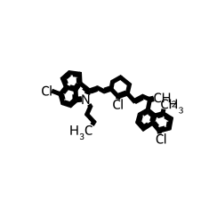 C=C(/C=C/C1=C(Cl)C(=C/C=c2/c3cccc4c(Cl)ccc(c43)n2CCCC)/CCC1)c1cccc2c(Cl)ccc(C)c12